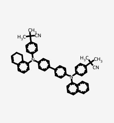 CC(C)(C#N)c1ccc(N(c2ccc(-c3ccc(N(c4ccc(C(C)(C)C#N)cc4)c4cccc5ccccc45)cc3)cc2)c2cccc3c2CCC=C3)cc1